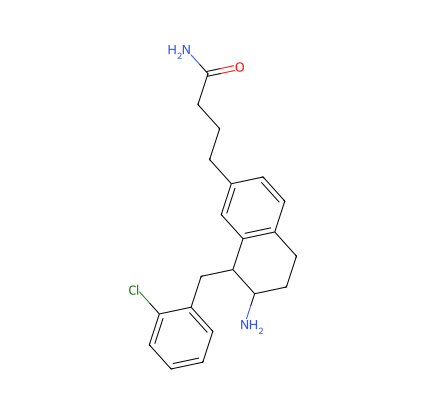 NC(=O)CCCc1ccc2c(c1)C(Cc1ccccc1Cl)C(N)CC2